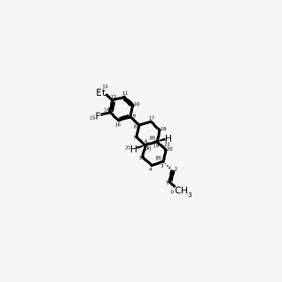 CC=C[C@@H]1CC[C@@H]2CC(c3ccc(CC)c(F)c3)CC[C@@H]2C1